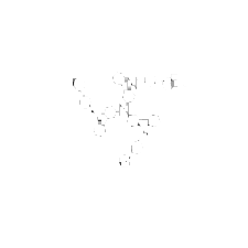 CCOCCOCCn1c2ccccc2c2cc(N(c3ccc4c(c3)c3ccccc3n4CCOCCOCC)c3ccc4c(c3)c3ccccc3n4CCOCCOCC)ccc21